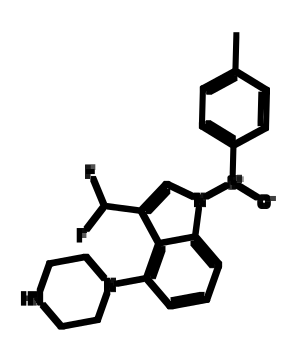 Cc1ccc([S+]([O-])n2cc(C(F)F)c3c(N4CCNCC4)cccc32)cc1